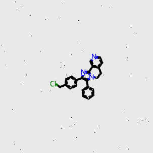 ClCc1ccc(-c2nc3n(c2-c2ccccc2)CCc2ccncc2-3)cc1